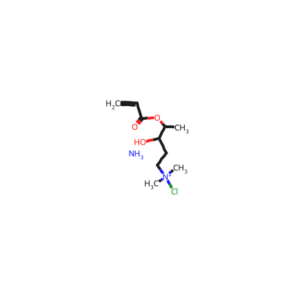 C=CC(=O)OC(C)C(O)CC[N+](C)(C)Cl.N